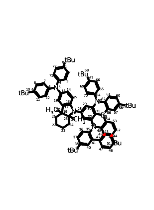 CC(C)(C)c1ccc(N(c2ccc(C(C)(C)C)cc2)c2ccc3c(c2)C2(C)CCCCC2(C)N3c2cc3c4c(c2)N(c2ccc(C(C)(C)C)cc2-c2ccccc2)c2cc(C(C)(C)C)ccc2B4c2cc(C(C)(C)C)ccc2N3c2ccc(C(C)(C)C)cc2)cc1